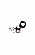 CC(C)(C=O)C(=O)c1ccccc1